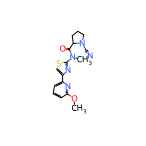 COc1cccc(-c2csc(N(C)C(=O)C3CCCN3C#N)n2)n1